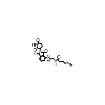 O=C(CCCCBr)NCCNc1cccc2c1C(=O)N(C1CCC(=O)NC1=O)C2=O